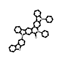 O=c1c2cc3c(cc2c2cc4c5ccccc5n(-c5ccccc5)c4cc2n1-c1ccccc1)c1ccccc1n3-c1ccc2oc3ccccc3c2c1